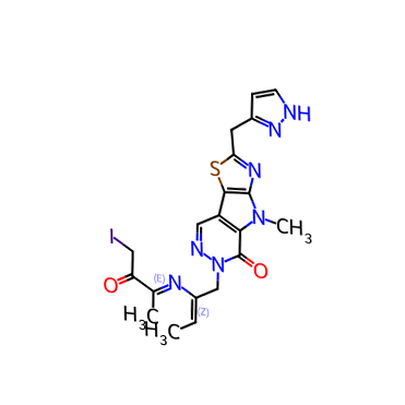 C/C=C(Cn1ncc2c3sc(Cc4cc[nH]n4)nc3n(C)c2c1=O)\N=C(/C)C(=O)CI